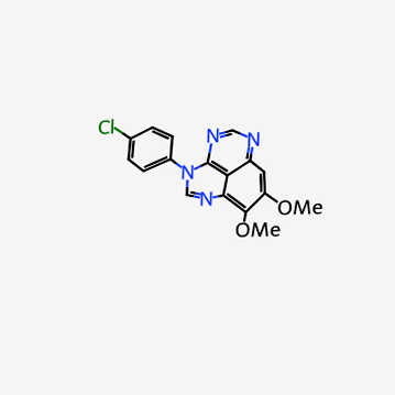 COc1cc2ncnc3c2c(c1OC)N=CN3c1ccc(Cl)cc1